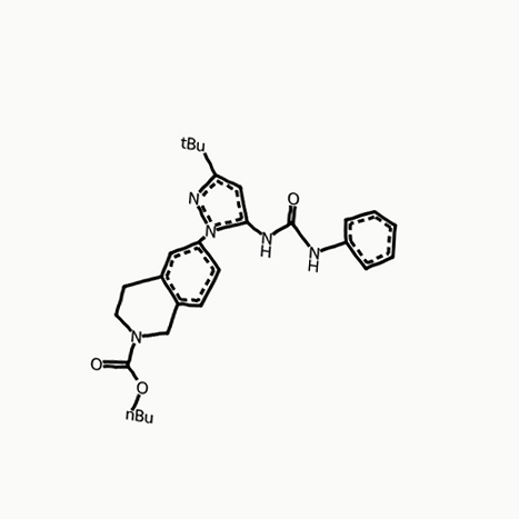 CCCCOC(=O)N1CCc2cc(-n3nc(C(C)(C)C)cc3NC(=O)Nc3ccccc3)ccc2C1